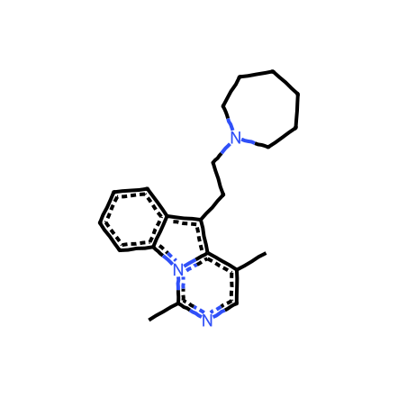 Cc1cnc(C)n2c1c(CCN1CCCCCC1)c1ccccc12